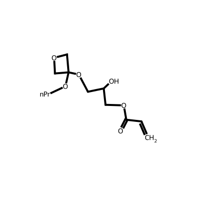 C=CC(=O)OCC(O)COC1(OCCC)COC1